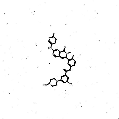 Cc1ccc(Nc2ncc3cc(-c4cc(NC(=O)c5cc(N6CCC(O)CC6)cc(C(F)(F)F)c5)ccc4C)n(C)c(=O)c3n2)cn1